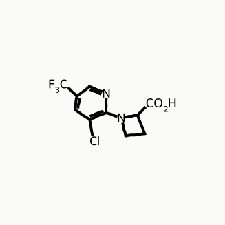 O=C(O)C1CCN1c1ncc(C(F)(F)F)cc1Cl